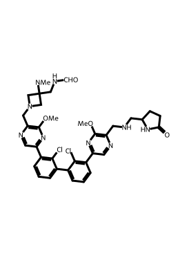 CNC1(CNC=O)CN(Cc2ncc(-c3cccc(-c4cccc(-c5cnc(CNCC6CCC(=O)N6)c(OC)n5)c4Cl)c3Cl)nc2OC)C1